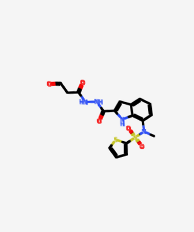 CN(c1cccc2cc(C(=O)NNC(=O)CC=O)[nH]c12)S(=O)(=O)c1cccs1